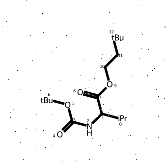 CC(C)C(NC(=O)OC(C)(C)C)C(=O)OC[CH]C(C)(C)C